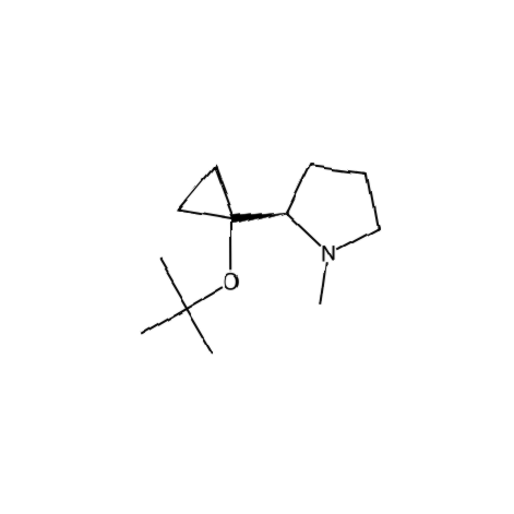 CN1CCC[C@@H]1C1(OC(C)(C)C)CC1